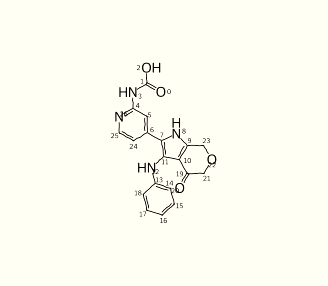 O=C(O)Nc1cc(-c2[nH]c3c(c2Nc2ccccc2)C(=O)COC3)ccn1